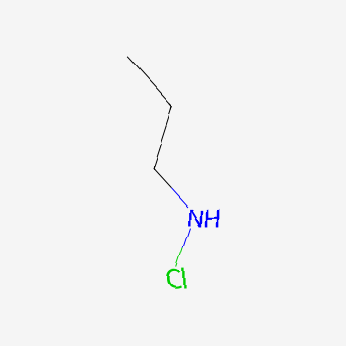 CCCNCl